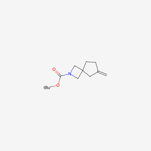 C=C1CCC2(C1)CN(C(=O)OC(C)(C)C)C2